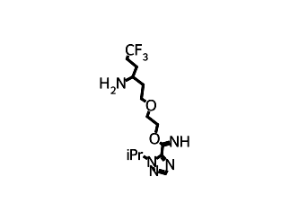 CC(C)n1ncnc1C(=N)OCCOCCC(N)CCC(F)(F)F